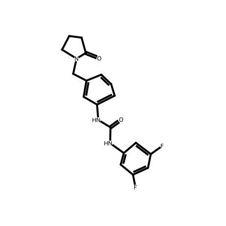 O=C(Nc1cc(F)cc(F)c1)Nc1cccc(CN2CCCC2=O)c1